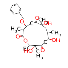 CC[C@H]1OC(=O)[C@H](C)[C@@H](OCc2ccccc2)CC(=O)[C@](C)(O)C[C@@H](C)[C@@H](O)CC(=O)[C@]1(C)O